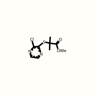 COC(=O)C(C)(C)Sc1nccnc1Cl